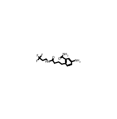 NC(=O)c1cc(N)ccc1CCCC(=O)NCCC(F)(F)F